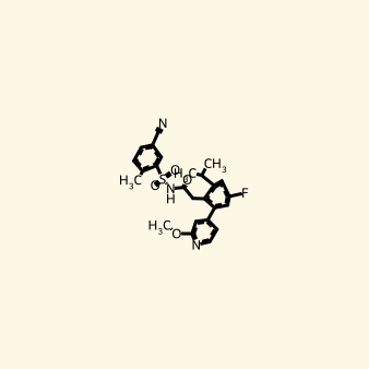 COc1cc(-c2cc(F)cc(C(C)C)c2CC(=O)NS(=O)(=O)c2cc(C#N)ccc2C)ccn1